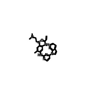 C=CC(=O)Nc1cc(Nc2nccc(-n3ccc4cccnc43)n2)c(C)cc1N(C)CCN(C)C